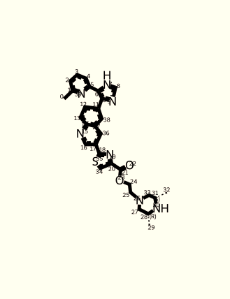 Cc1cccc(-c2[nH]cnc2-c2ccc3ncc(-c4nc(C(=O)OCCN5C[C@@H](C)N[C@@H](C)C5)cs4)cc3c2)n1